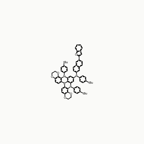 CC(C)(C)c1ccc(N(c2cc3c4c(c2)N(c2ccc(C(C)(C)C)cc2)c2c(ccc5c2OCCO5)B4c2ccc4c(c2N3c2ccc(C(C)(C)C)cc2)OCCO4)c2ccc3cc(-c4cc5ccccc5o4)ccc3c2)cc1